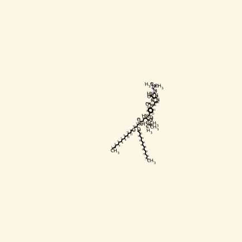 CCCCCCCCCCCCCCOCC(CNC(=O)CCC(NC(=O)c1ccc(N(C=O)Cc2cnc3nc(/N=C/N(C)C)[nH]c(=O)c3n2)cc1)C(=O)OC(C)(C)C)OCCCCCCCCCCCCCC